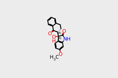 COc1ccc2c(c1)NC(=O)[C@@]2(O)[C@H]1CCc2ccccc2C1=O